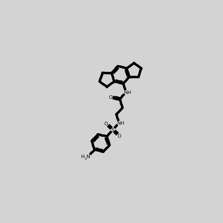 Nc1ccc(S(=O)(=O)NCCC(=O)Nc2c3c(cc4c2CCC4)CCC3)cc1